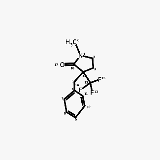 CN1CCC(Cc2ccccc2)(C(F)(F)F)C1=O